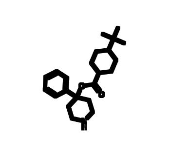 CC(C)(C)C1CCC(C(=O)OC2(c3ccccc3)CCNCC2)CC1